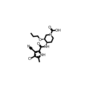 CCCO[C@H]1CN(C(=O)O)CC[C@H]1NC(=O)c1[nH]c(C)c(Cl)c1C#N